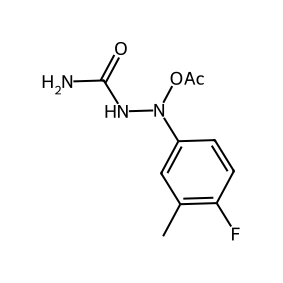 CC(=O)ON(NC(N)=O)c1ccc(F)c(C)c1